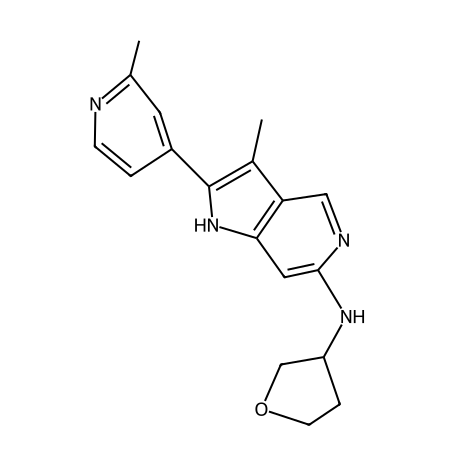 Cc1cc(-c2[nH]c3cc(NC4CCOC4)ncc3c2C)ccn1